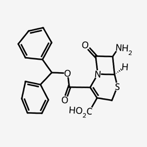 NC1C(=O)N2C(C(=O)OC(c3ccccc3)c3ccccc3)=C(C(=O)O)CS[C@H]12